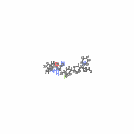 C=C(c1ccc(-c2ccc(C[C@@H](C#N)NC(=O)[C@H]3N[C@@H]4CC[C@H]3C4)c(F)c2)cc1)N1CCCCC1